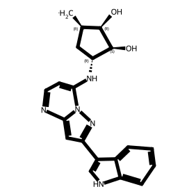 [CH2][C@@H]1C[C@@H](Nc2ccnc3cc(-c4c[nH]c5ccccc45)nn23)[C@H](O)[C@@H]1O